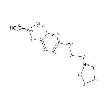 N[C@@H](Cc1ccc(OCCN2CCCC2)cc1)C(=O)O